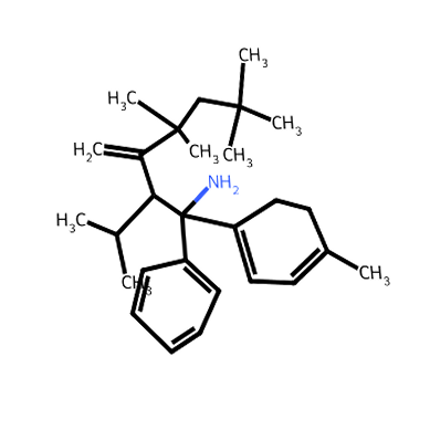 C=C(C(C(C)C)C(N)(C1=CC=C(C)CC1)c1ccccc1)C(C)(C)CC(C)(C)C